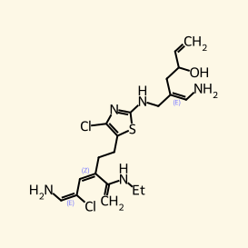 C=CC(O)C/C(=C\N)CNc1nc(Cl)c(CC/C(=C/C(Cl)=C\N)C(=C)NCC)s1